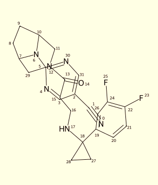 N#Cc1cnc(N2C3CCC2CN(C(=O)CCNC2(c4ccc(F)c(F)c4)CC2)C3)nc1